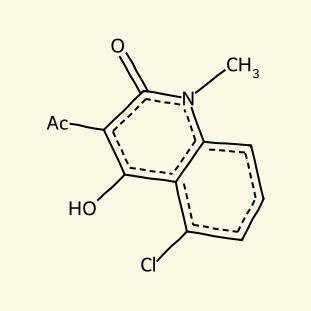 CC(=O)c1c(O)c2c(Cl)cccc2n(C)c1=O